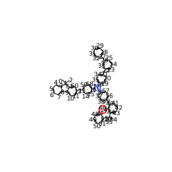 CC1(C)c2ccccc2-c2ccc(-c3ccc(N(c4ccc(-c5cccc(-c6ccccc6)c5)cc4)c4ccc(-c5cccc6c5Oc5ccccc5C6(C)C)cc4)cc3)cc21